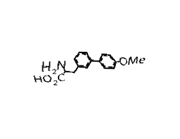 COc1ccc(-c2cccc(C[C@H](N)C(=O)O)c2)cc1